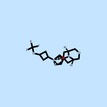 C[C@@H]1C[C@H]2COC[C@@H](C1)N2c1cnn(C2CC(OC(F)(F)F)C2)c1